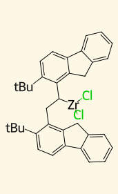 CC(C)(C)c1ccc2c(c1C[CH](c1c(C(C)(C)C)ccc3c1Cc1ccccc1-3)[Zr]([Cl])[Cl])Cc1ccccc1-2